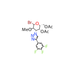 CO[C@H]1C(Br)O[C@H](COC(C)=O)[C@H](OC(C)=O)[C@@H]1n1cc(-c2cc(F)c(F)c(F)c2)nn1